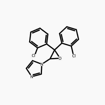 Clc1ccccc1C1(c2ccccc2Cl)OC1n1ccnc1